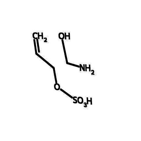 C=CCOS(=O)(=O)O.NCO